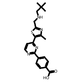 Cc1nc(CNCC(C)(C)C)sc1-c1ccnc(-c2ccc(C(=O)O)cc2)n1